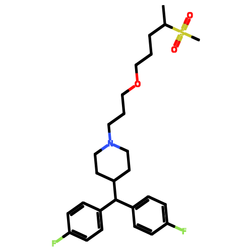 CC(CCCOCCCN1CCC(C(c2ccc(F)cc2)c2ccc(F)cc2)CC1)S(C)(=O)=O